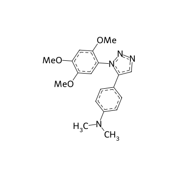 COc1cc(OC)c(-n2nncc2-c2ccc(N(C)C)cc2)cc1OC